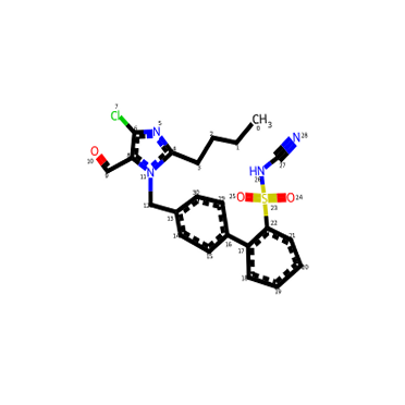 CCCCc1nc(Cl)c(C=O)n1Cc1ccc(-c2ccccc2S(=O)(=O)NC#N)cc1